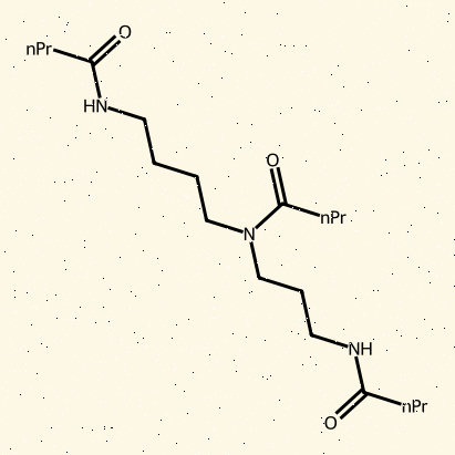 CCCC(=O)NCCCCN(CCCNC(=O)CCC)C(=O)CCC